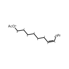 CCC/C=C\CCCCCCOC(C)=O